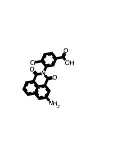 Nc1cc2c3c(cccc3c1)C(=O)N(c1cc(C(=O)O)ccc1Cl)C2=O